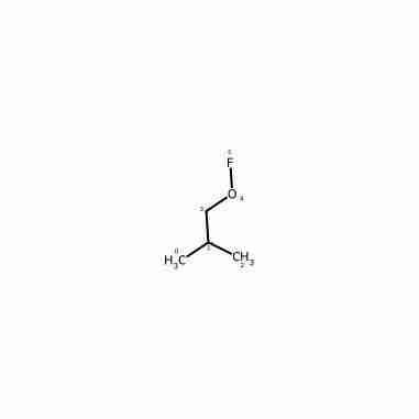 C[C](C)COF